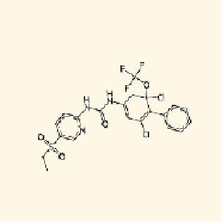 CCS(=O)(=O)c1ccc(NC(=O)NC2=CC(Cl)=C(c3ccccc3)C(Cl)(OC(F)(F)F)C2)nc1